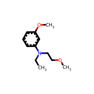 CCN(CCOC)c1cccc(OC)c1